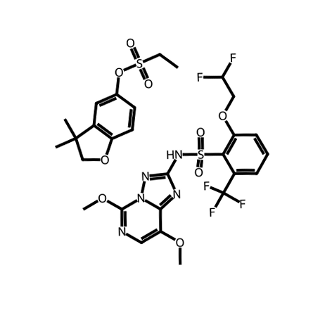 CCS(=O)(=O)Oc1ccc2c(c1)C(C)(C)CO2.COc1cnc(OC)n2nc(NS(=O)(=O)c3c(OCC(F)F)cccc3C(F)(F)F)nc12